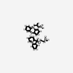 CC(CN(C)C)CN1c2ccccc2Sc2ccccc21.CN(C)CCOC(C)(c1ccccc1)c1ccccn1